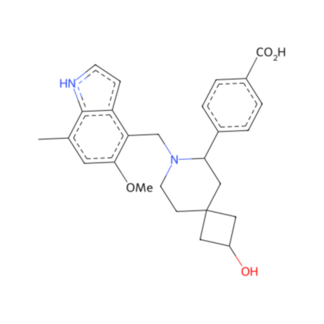 COc1cc(C)c2[nH]ccc2c1CN1CCC2(CC(O)C2)CC1c1ccc(C(=O)O)cc1